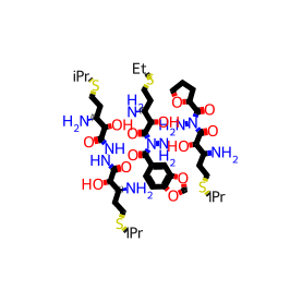 CC(C)SCCC(N)C(O)C(=O)N(N)C(=O)C1CCCO1.CC(C)SCC[C@@H](N)C(O)C(=O)NNC(=O)C(O)[C@@H](N)CCSC(C)C.CCSCC[C@@H](N)C(O)C(=O)N(N)C(=O)c1ccc2c(c1)OCO2